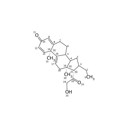 CCC1CC2C3CCC4=CC(=O)C=C[C@]4(C)C3=CC[C@]2(C)[C@H]1C(=O)CO